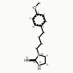 COc1ccc(CCCCN2CCNC2=N)cc1